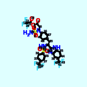 NS(=O)(=O)N(CC(=O)OC(=O)C(F)(F)F)c1ccc(C[C@H](NS(=O)(=O)c2ccc(C(F)(F)F)cc2)c2nc3cc(C(F)(F)F)ccc3[nH]2)cc1